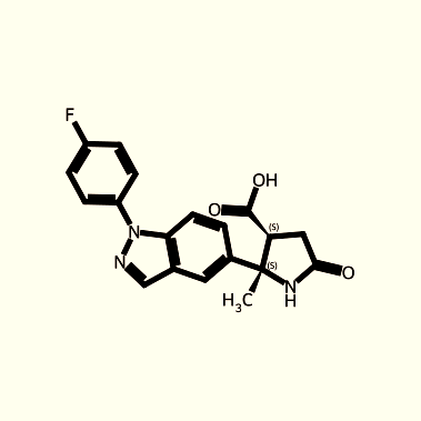 C[C@]1(c2ccc3c(cnn3-c3ccc(F)cc3)c2)NC(=O)C[C@@H]1C(=O)O